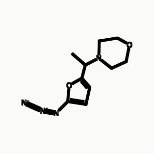 CC(c1ccc(N=[N+]=[N-])o1)N1CCOCC1